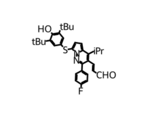 CC(C)c1c(C=CC=O)c(-c2ccc(F)cc2)nn2c(Sc3cc(C(C)(C)C)c(O)c(C(C)(C)C)c3)ccc12